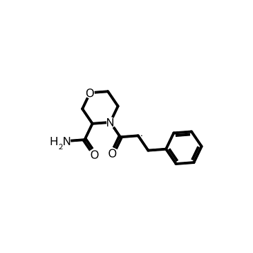 NC(=O)C1COCCN1C(=O)[CH]Cc1ccccc1